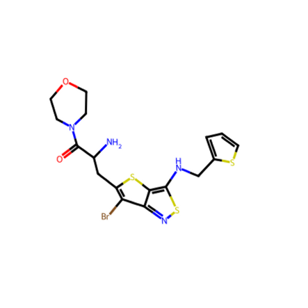 NC(Cc1sc2c(NCc3cccs3)snc2c1Br)C(=O)N1CCOCC1